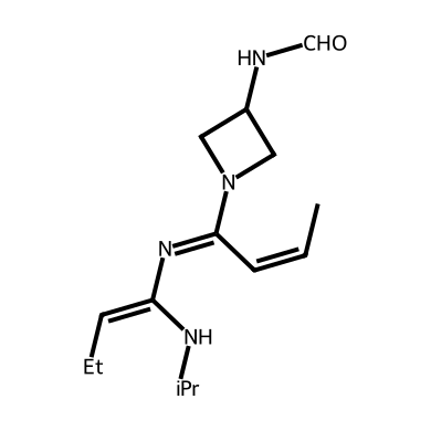 C\C=C/C(=N\C(=C\CC)NC(C)C)N1CC(NC=O)C1